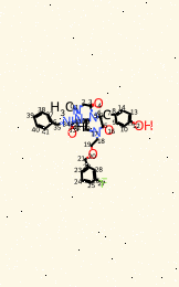 CN1CC(=O)N2[C@@H](Cc3ccc(O)cc3)C(=O)N(CCOCc3cccc(F)c3)C[C@@H]2N1C(=O)NCc1ccccc1